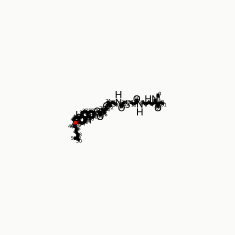 CCNC(CCCCNC(=O)CCSCC(=O)NCCC(C)(C)OCC(C)(C)C(=O)O[C@@H]1CC[C@]2(C)C(=CC[C@@H]3[C@@H]4CCC([C@@H](C)CCCC(C)C)[C@]4(C)CC[C@@H]32)C1)C(=O)CC